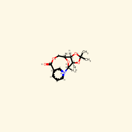 CC1(C)O[C@@H]2[C@H](O1)[C@H]1COC(=O)c3ccc[n+](c3)[C@@H]2O1